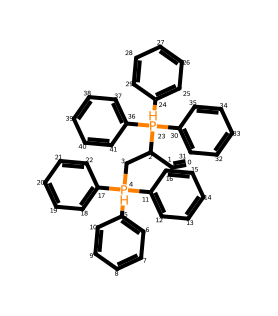 C=CC(C[PH](c1ccccc1)(c1ccccc1)c1ccccc1)[PH](c1ccccc1)(c1ccccc1)c1ccccc1